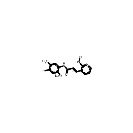 CCNc1ncccc1/C=C/C(=O)Nc1cc(C)c(CC)cc1NC